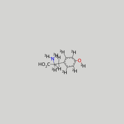 [2H]Oc1c([2H])c([2H])c(C([2H])([2H])[C@@]([2H])(C(=O)O)N([2H])[2H])c([2H])c1[2H]